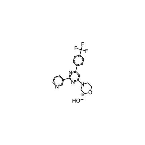 OC[C@@H]1CN(c2cc(-c3ccc(C(F)(F)F)cc3)nc(-c3cccnc3)n2)CCO1